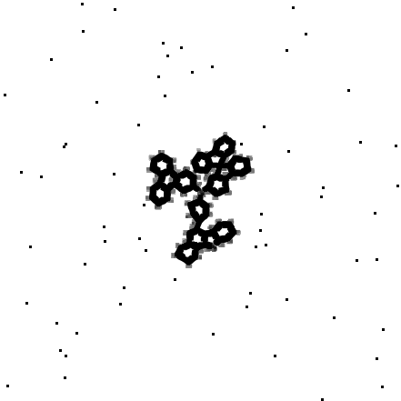 c1ccc2c(c1)-c1ccccc1C21c2ccccc2-c2ccc(N(c3ccc(-c4cc5ccccc5c5sc6ccccc6c45)cc3)c3ccc4c5ccccc5c5ccccc5c4c3)cc21